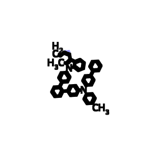 C=C/C=C\c1c(C)n(-c2ccc(-c3ccccc3-c3ccc(N(c4ccc(C)cc4)c4ccc(-c5ccccc5)cc4)cc3)cc2)c2ccccc12